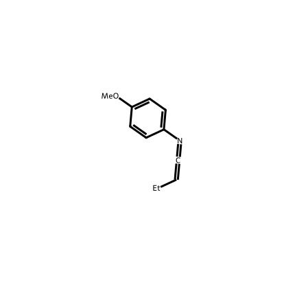 CCC=C=Nc1ccc(OC)cc1